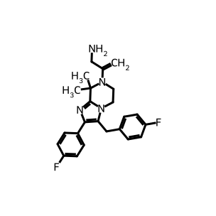 C=C(CN)N1CCn2c(nc(-c3ccc(F)cc3)c2Cc2ccc(F)cc2)C1(C)C